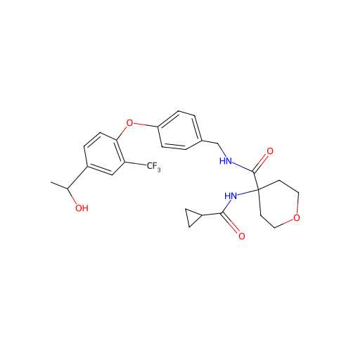 CC(O)c1ccc(Oc2ccc(CNC(=O)C3(NC(=O)C4CC4)CCOCC3)cc2)c(C(F)(F)F)c1